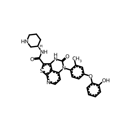 Cc1cc(Oc2ccccc2O)ccc1N1C(=O)Nc2c(C(=O)N[C@@H]3CCCNC3)sc3nccc1c23